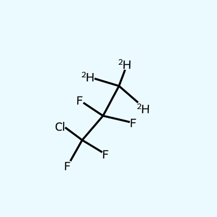 [2H]C([2H])([2H])C(F)(F)C(F)(F)Cl